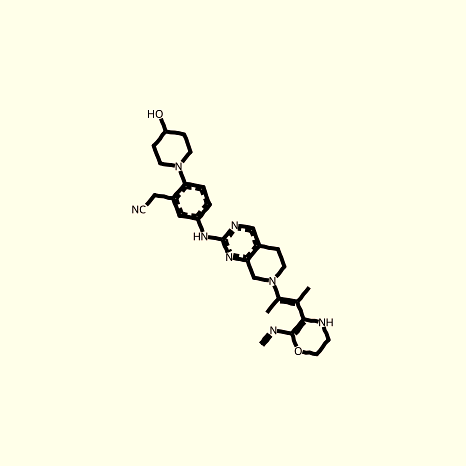 C=NC1=C(/C(C)=C(\C)N2CCc3cnc(Nc4ccc(N5CCC(O)CC5)c(CC#N)c4)nc3C2)NCCO1